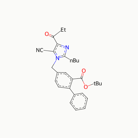 CCCCc1nc(C(=O)CC)c(C#N)n1Cc1ccc(-c2ccccc2)c(C(=O)OC(C)(C)C)c1